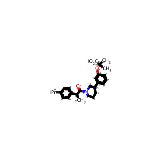 CC(C)c1ccc(C(C)C(=O)N2CCCC(c3cccc(OC(C)(C)C(=O)O)c3)C2)cc1